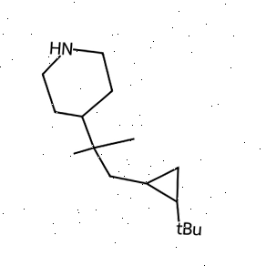 CC(C)(C)C1CC1CC(C)(C)C1CCNCC1